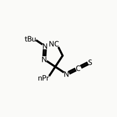 CCCC(CC#N)(N=C=S)N=NC(C)(C)C